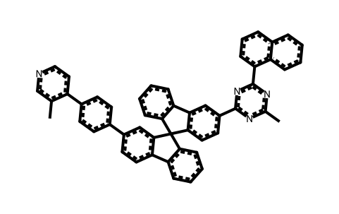 Cc1nc(-c2ccc3c(c2)-c2ccccc2C32c3ccccc3-c3ccc(-c4ccc(-c5ccncc5C)cc4)cc32)nc(-c2cccc3ccccc23)n1